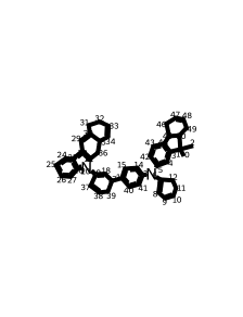 CC1(C)c2cc(N(C3=CC=CCC3)c3ccc(C4C=C(n5c6c(c7ccccc75)C=C5CCC=CC5C6)C=CC4)cc3)ccc2C2CC=CCC21